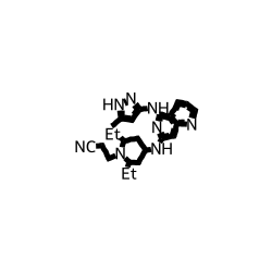 CCC1CC(Nc2cc3ncccc3c(Nc3cc(C)[nH]n3)n2)CC(CC)N1CCC#N